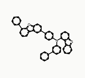 c1ccc(-c2cccc(N(c3ccc(-c4ccc5oc6c(-c7ccccc7)cccc6c5c4)cc3)c3cccc4sc5ccccc5c34)c2)cc1